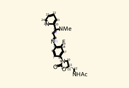 CN/C(=C\C=N\c1ccc(N2C[C@H](CNC(C)=O)OC2=O)cc1F)c1ccccn1